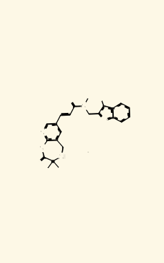 CCc1c(CN(C)C(=O)C=Cc2cnc3c(c2)CNC(C)(C)C(=O)N3)oc2ccccc12.Cl